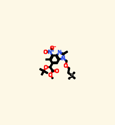 COC(=O)C(OC(C)(C)C)c1cc2c(nc(C)n2COCC[Si](C)(C)C)c([N+](=O)[O-])c1C